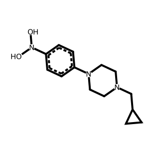 ON(O)c1ccc(N2CCN(CC3CC3)CC2)cc1